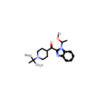 CCOC(C)n1c(C(=O)C2CCN(C(C)(OC)C(=O)O)CC2)nc2ccccc21